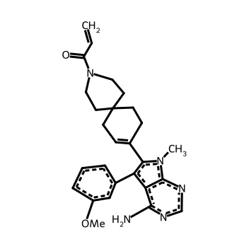 C=CC(=O)N1CCC2(CC=C(c3c(-c4cccc(OC)c4)c4c(N)ncnc4n3C)CC2)CC1